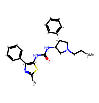 COCCN1C[C@@H](NC(=O)Nc2sc(C(C)C)nc2-c2ccccc2)[C@H](c2ccccc2)C1